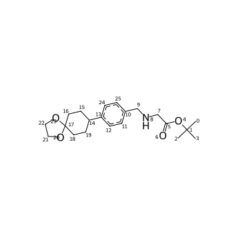 CC(C)(C)OC(=O)CNCc1ccc(C2CCC3(CC2)OCCO3)cc1